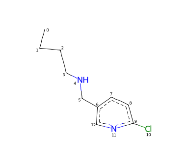 CCCCNCc1ccc(Cl)nc1